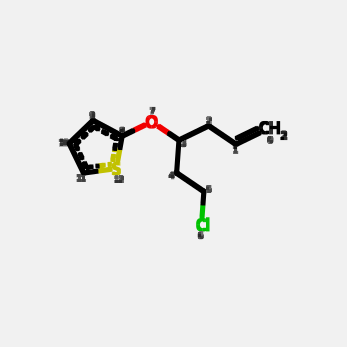 C=CCC(CCCl)Oc1cccs1